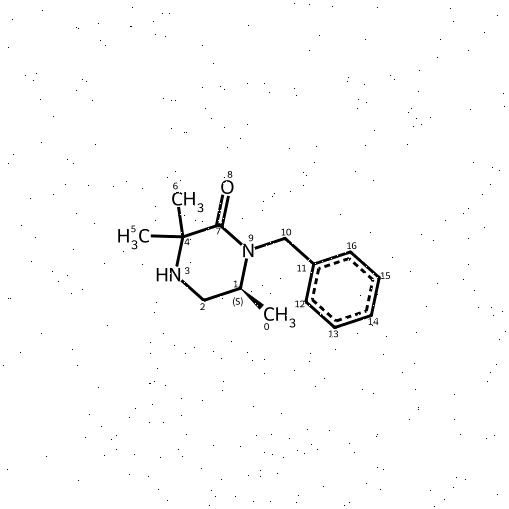 C[C@H]1CNC(C)(C)C(=O)N1Cc1ccccc1